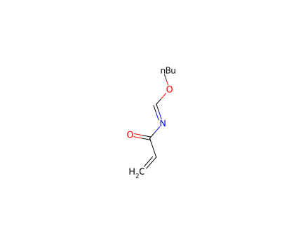 C=CC(=O)N=COCCCC